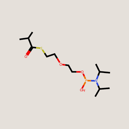 CC(C)C(=O)SCCOCCOP(O)N(C(C)C)C(C)C